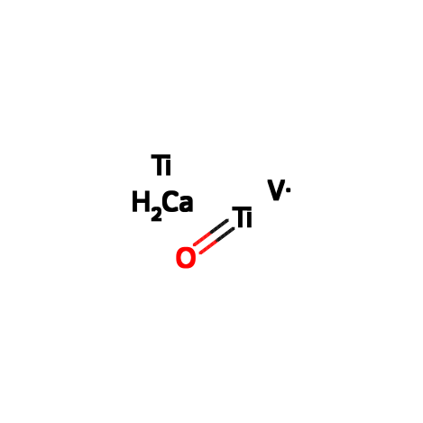 [CaH2].[O]=[Ti].[Ti].[V]